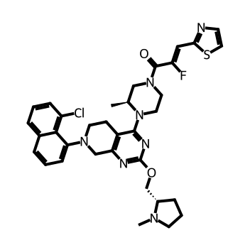 C[C@H]1CN(C(=O)C(F)=Cc2nccs2)CCN1c1nc(OC[C@@H]2CCCN2C)nc2c1CCN(c1cccc3cccc(Cl)c13)C2